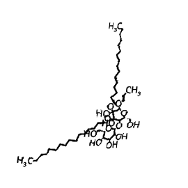 CCCCCCCCCCCCCCCCO[C@]1(O)[C@H](OCCC)O[C@H](CO)[C@@H](O[C@H]2O[C@H](CO)[C@@H](O)[C@H](O)[C@H]2O)[C@@]1(O)OCCCCCCCCCCCCCCCC